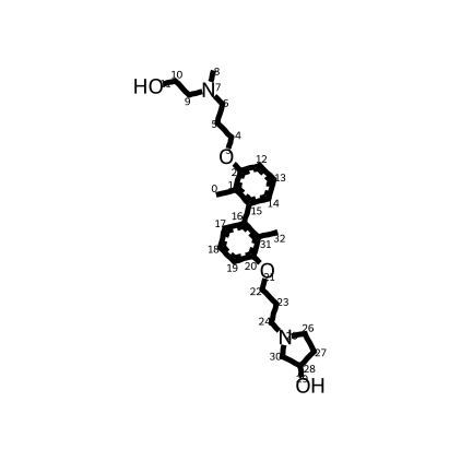 Cc1c(OCCCN(C)CCO)cccc1-c1cccc(OCCCN2CCC(O)C2)c1C